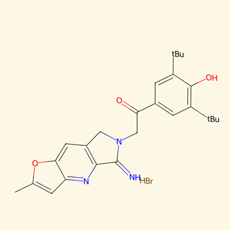 Br.Cc1cc2nc3c(cc2o1)CN(CC(=O)c1cc(C(C)(C)C)c(O)c(C(C)(C)C)c1)C3=N